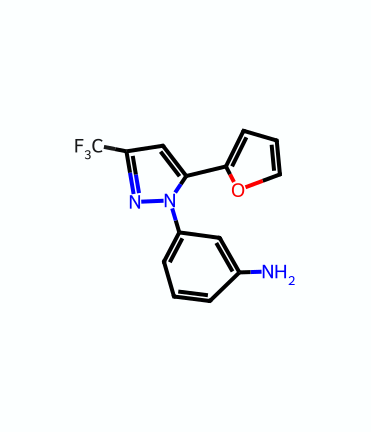 Nc1cccc(-n2nc(C(F)(F)F)cc2-c2ccco2)c1